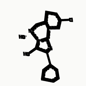 Oc1c(-c2ccccc2)sc2c3cc(Cl)ccc3cn[n+]12.[OH-]